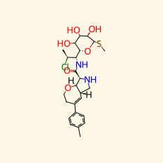 CSC1O[C@H]([C@H](NC(=O)[C@H]2NC[C@@H]3C=C(c4ccc(C)cc4)CCO[C@@H]23)[C@H](C)Cl)C(O)C(O)[C@H]1O